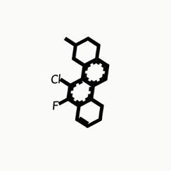 CC1CCc2ccc3c4c(c(F)c(Cl)c3c2C1)C=CCC4